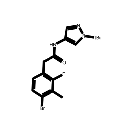 Cc1c(Br)ccc(CC(=O)Nc2cnn(C(C)(C)C)c2)c1F